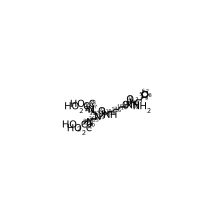 N[C@H](CCc1ccccc1)C(=O)NOCCCCCCNC(=O)CN(CCN(CC(=O)O)CC(=O)O)CCN(CC(=O)O)CC(=O)O